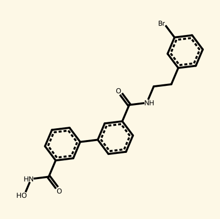 O=C(NO)c1cccc(-c2cccc(C(=O)NCCc3cccc(Br)c3)c2)c1